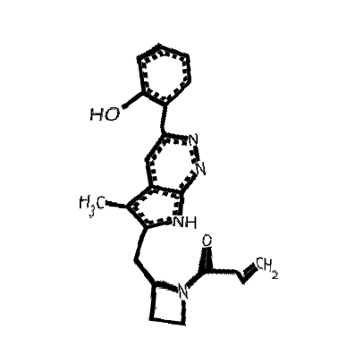 C=CC(=O)N1CCC1Cc1[nH]c2nnc(-c3ccccc3O)cc2c1C